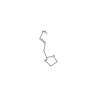 PC=CCC1=NCCO1